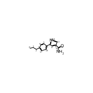 CCCc1ccc(-c2cc(C(N)=O)ccn2)cc1